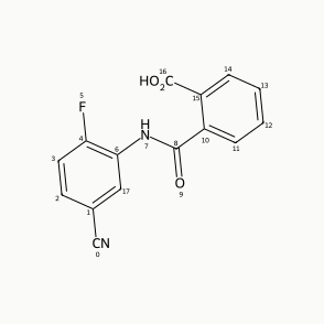 N#Cc1ccc(F)c(NC(=O)c2ccccc2C(=O)O)c1